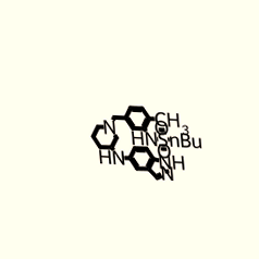 CCCCS(=O)(=O)Nc1cc(CN2CCCC(Nc3ccc4[nH]ncc4c3)C2)ccc1C